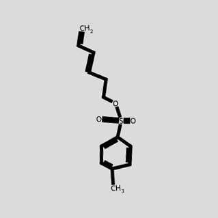 C=CC=CCCOS(=O)(=O)c1ccc(C)cc1